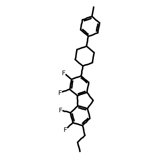 CCCc1cc2c(c(F)c1F)-c1c(cc(C3CCC(c4ccc(C)cc4)CC3)c(F)c1F)C2